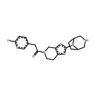 O=C(Cc1ccc(F)nc1)N1CCc2nc(N3C4CCC3CNC4)sc2C1